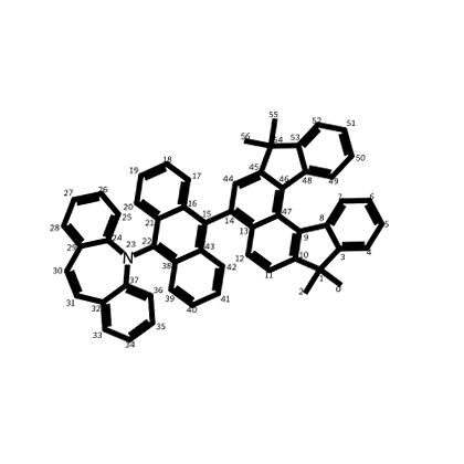 CC1(C)c2ccccc2-c2c1ccc1c(-c3c4ccccc4c(N4c5ccccc5C=Cc5ccccc54)c4ccccc34)cc3c(c21)-c1ccccc1C3(C)C